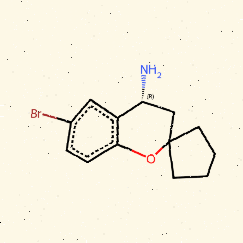 N[C@@H]1CC2(CCCC2)Oc2ccc(Br)cc21